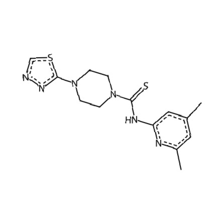 Cc1cc(C)nc(NC(=S)N2CCN(c3nncs3)CC2)c1